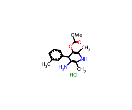 COC(=O)OC1=C(C)NC(C)=C(N)C1c1cccc(C)c1.Cl